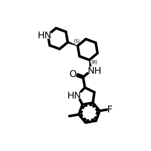 Cc1ccc(F)c2c1NC(C(=O)N[C@@H]1CCC[C@H](C3CCNCC3)C1)C2